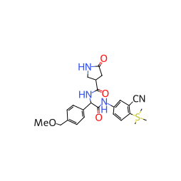 COCc1ccc(C(NC(=O)C2CNC(=O)C2)C(=O)Nc2ccc(S(C)(C)C)c(C#N)c2)cc1